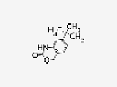 CC(C)(C)c1ccc2c(c1)NC(=O)OC2